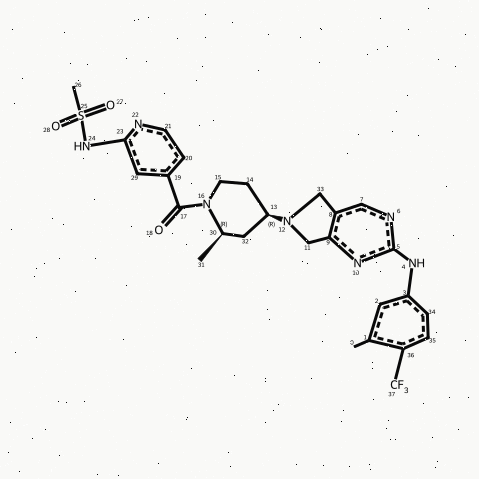 Cc1cc(Nc2ncc3c(n2)CN([C@@H]2CCN(C(=O)c4ccnc(NS(C)(=O)=O)c4)[C@H](C)C2)C3)ccc1C(F)(F)F